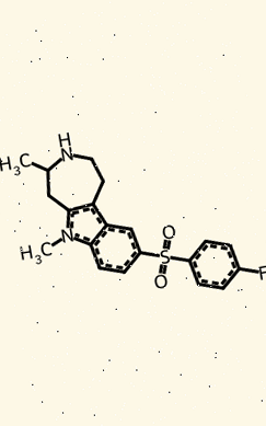 CC1Cc2c(c3cc(S(=O)(=O)c4ccc(F)cc4)ccc3n2C)CCN1